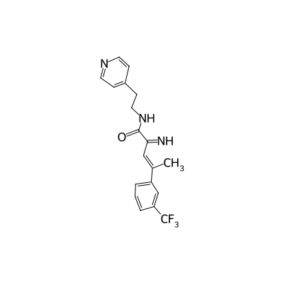 C/C(=C\C(=N)C(=O)NCCc1ccncc1)c1cccc(C(F)(F)F)c1